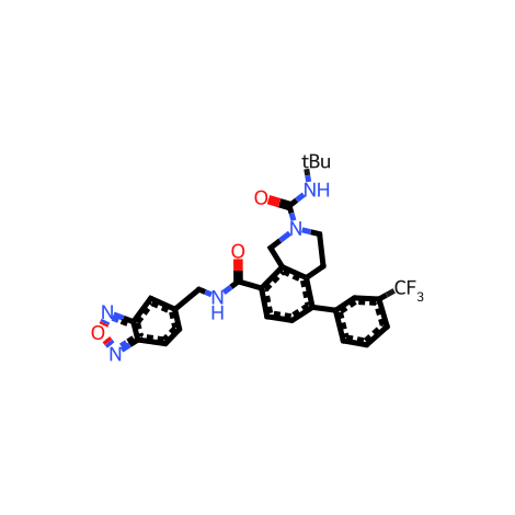 CC(C)(C)NC(=O)N1CCc2c(-c3cccc(C(F)(F)F)c3)ccc(C(=O)NCc3ccc4nonc4c3)c2C1